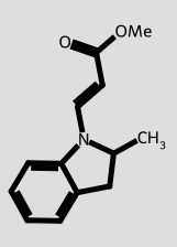 COC(=O)C=CN1c2ccccc2CC1C